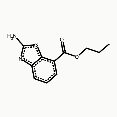 CCCOC(=O)c1cccc2nc(N)sc12